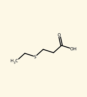 CCSCCC(=O)O